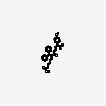 COc1ccc(N(CCCC(=O)N(CCCCCC(=O)O)C(c2ccccc2)c2ccccc2)C(C)=O)cc1